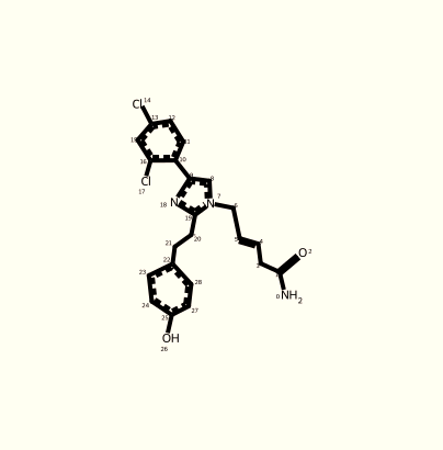 NC(=O)C/C=C/Cn1cc(-c2ccc(Cl)cc2Cl)nc1[CH]Cc1ccc(O)cc1